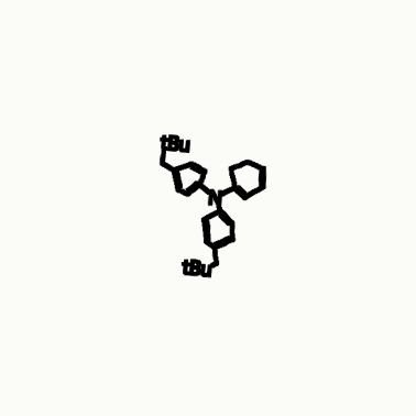 CC(C)(C)Cc1ccc(N(C2=CC=CCC2)c2ccc(CC(C)(C)C)cc2)cc1